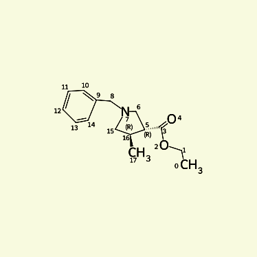 CCOC(=O)[C@H]1CN(Cc2ccccc2)C[C@@H]1C